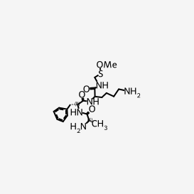 COSCNC(=O)C(CCCCN)NC(=O)[C@@H](Cc1ccccc1)NC(=O)[C@H](C)N